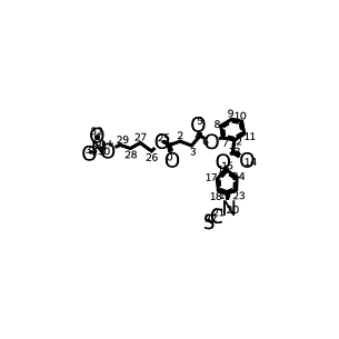 O=C(CCC(=O)Oc1ccccc1C(=O)Oc1ccc(N=C=S)cc1)OCCCCO[N+](=O)[O-]